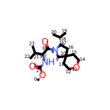 COC(=O)N[C@H](C(=O)N1CC2(CCOCC2)C[C@H]1C(C)C)C(C)C